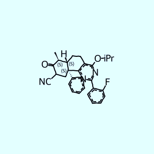 CC(C)Oc1nc(-c2ccccc2F)nc2c1CC[C@H]1[C@H](C)C(=O)C(C#N)C[C@]21c1ccccc1